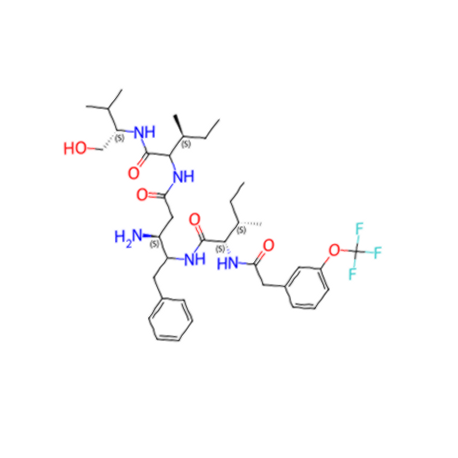 CC[C@H](C)C(NC(=O)C[C@H](N)C(Cc1ccccc1)NC(=O)[C@@H](NC(=O)Cc1cccc(OC(F)(F)F)c1)[C@@H](C)CC)C(=O)N[C@H](CO)C(C)C